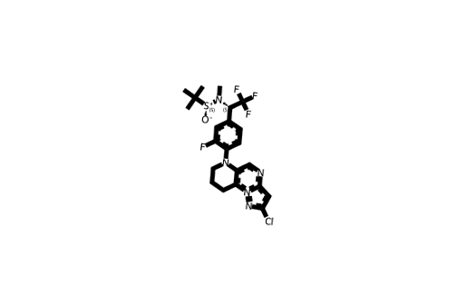 CN([C@@H](c1ccc(N2CCCc3c2cnc2cc(Cl)nn32)c(F)c1)C(F)(F)F)[S@+]([O-])C(C)(C)C